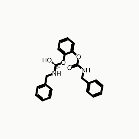 O=C(NCc1ccccc1)Oc1ccccc1O[C@H](O)NCc1ccccc1